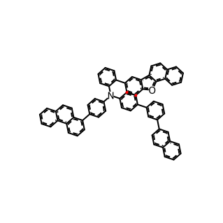 c1cc(-c2ccc(N(c3ccc(-c4cccc5c4ccc4ccccc45)cc3)c3ccccc3-c3ccc4oc5c6ccccc6ccc5c4c3)cc2)cc(-c2ccc3ccccc3c2)c1